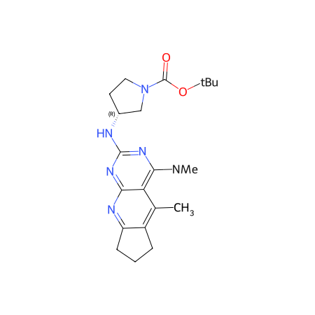 CNc1nc(N[C@@H]2CCN(C(=O)OC(C)(C)C)C2)nc2nc3c(c(C)c12)CCC3